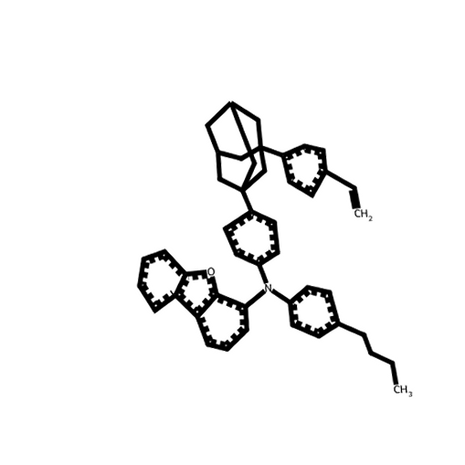 C=Cc1ccc(C23CC4CC(C2)CC(c2ccc(N(c5ccc(CCCC)cc5)c5cccc6c5oc5ccccc56)cc2)(C4)C3)cc1